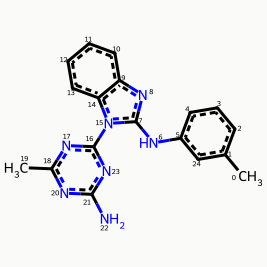 Cc1cccc(Nc2nc3ccccc3n2-c2nc(C)nc(N)n2)c1